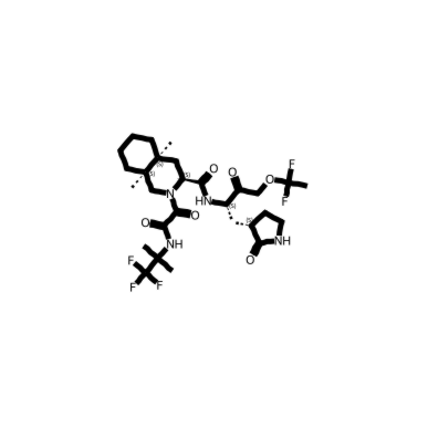 CC(F)(F)OCC(=O)[C@H](C[C@@H]1CCNC1=O)NC(=O)[C@@H]1C[C@]2(C)CCCC[C@]2(C)CN1C(=O)C(=O)NC(C)(C)C(F)(F)F